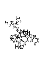 Cc1c(Cc2ccccn2)cc(CO)c(CN2CCOCC2)c1OC(N)CCCC(C)C